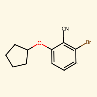 N#Cc1c(Br)[c]ccc1OC1CCCC1